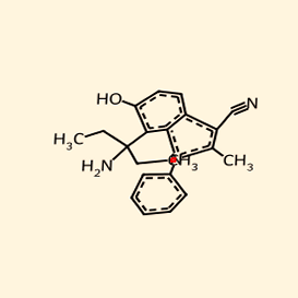 CCC(N)(CC)c1c(O)ccc2c(C#N)c(C)n(-c3ccccc3)c12